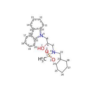 CS(=O)(=O)N(CC(O)Cn1c2ccccc2c2ccccc21)CC1CCCCC1